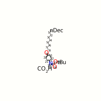 CCCCCCCCCCCCCCCCCCOc1ccc(N(CC(=O)O)C(=O)OC(C)(C)C)cc1